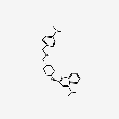 CN(C)c1ccc(CNC[C@H]2CC[C@@H](Nc3cc(N(C)C)c4ccccc4n3)CC2)cc1